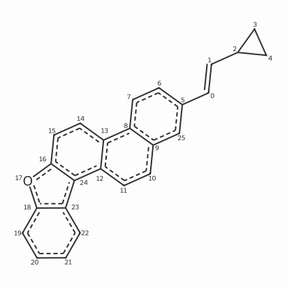 C(=C\C1CC1)/c1ccc2c(ccc3c2ccc2oc4ccccc4c23)c1